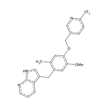 COc1cc(Cc2c[nH]c3ncccc23)c(C)cc1OCc1ccc(C(F)(F)F)nc1